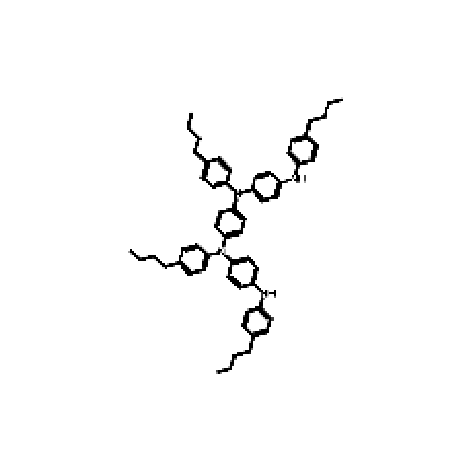 CCCCc1ccc(Nc2ccc(N(c3ccc(CCCC)cc3)c3ccc(N(c4ccc(CCCC)cc4)c4ccc(Nc5ccc(CCCC)cc5)cc4)cc3)cc2)cc1